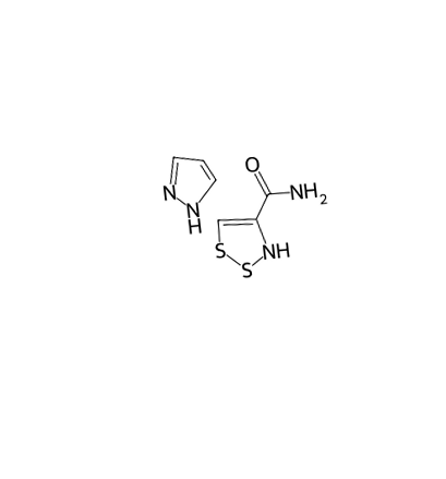 NC(=O)C1=CSSN1.c1cn[nH]c1